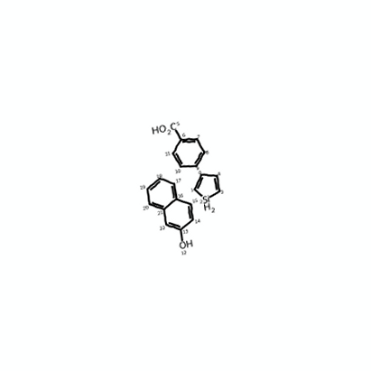 C1=C[SiH2]C=C1.O=C(O)c1ccccc1.Oc1ccc2ccccc2c1